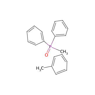 CP(=O)(c1ccccc1)c1ccccc1.Cc1ccccc1